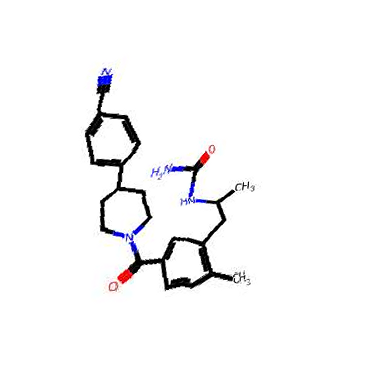 Cc1ccc(C(=O)N2CCC(c3ccc(C#N)cc3)CC2)cc1CC(C)NC(N)=O